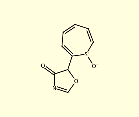 O=C1N=COC1C1=CC=CC=C[S+]1[O-]